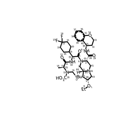 CCO[C@@H]1C[C@@H]2CN(C(=O)[C@@H](NC(=O)[C@H](C)N(CC(C)(C)C)C(=O)O)C3CCC(F)(F)CC3)[C@H](C(=O)N[C@@H]3CCOc4ccccc43)CN2C1